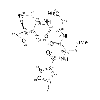 COC[C@H](NC(=O)c1cc(C)on1)C(=O)N[C@@H](COC)C(=O)N[C@@H](CC(C)C)C(=O)[C@@]1(C)CO1